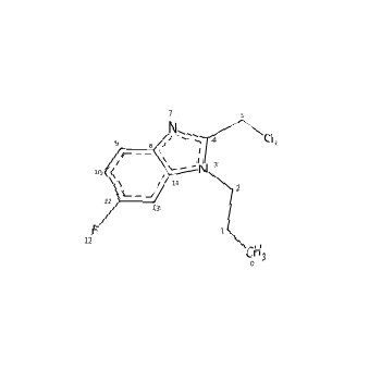 CCCn1c(CCl)nc2ccc(F)cc21